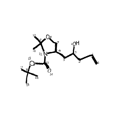 C=CCC(O)CC1COC(C)(C)N1C(=O)OC(C)(C)C